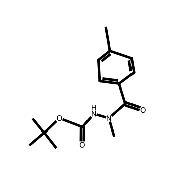 Cc1ccc(C(=O)N(C)NC(=O)OC(C)(C)C)cc1